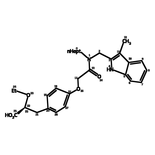 CCCCCCCN(Cc1[nH]c2ccccc2c1C)C(=O)COc1ccc(C[C@H](OCC)C(=O)O)cc1